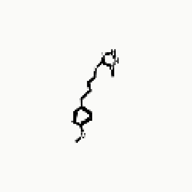 COc1ccc(CCCCSc2nnnn2C)cc1